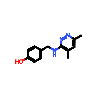 Cc1cc(C)c(NCc2ccc(O)cc2)nn1